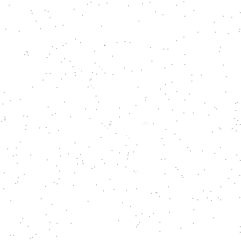 CSCC[C@H](NC(=O)[C@@H](N)CCCNC(=N)N)C(=O)NCC(=O)O